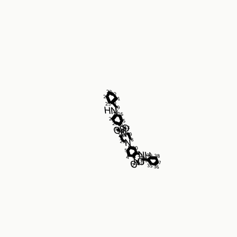 O=[N+]([O-])c1ccc(N2CCN(S(=O)(=O)c3ccc(NCc4ccccc4)cc3)CC2)cc1NCc1ccccc1